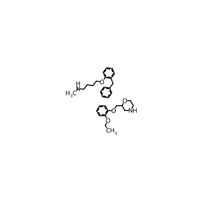 CCOc1ccccc1OCC1CNCCO1.CNCCCCOc1ccccc1Cc1ccccc1